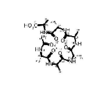 CC(C)C(=O)N[C@@H](C)C(=O)NC(C)C(=O)N[C@@H](C)C(=O)NC(C)C(=O)N[C@@H](C)C(=O)NC(C)C(=O)O